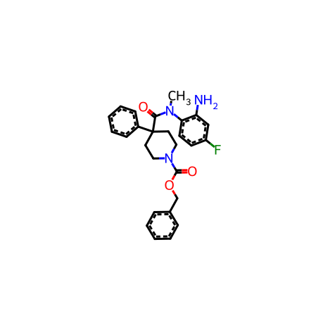 CN(C(=O)C1(c2ccccc2)CCN(C(=O)OCc2ccccc2)CC1)c1ccc(F)cc1N